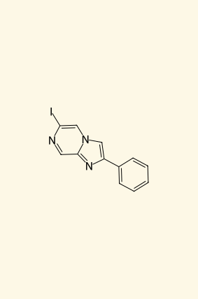 Ic1cn2cc(-c3ccccc3)nc2cn1